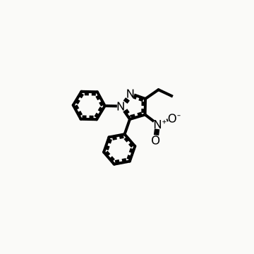 CCc1nn(-c2ccccc2)c(-c2ccccc2)c1[N+](=O)[O-]